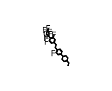 CCC1CCC(c2ccc(CCc3cc(F)c(C(F)(F)OC(F)(F)F)c(F)c3)c(F)c2)CC1